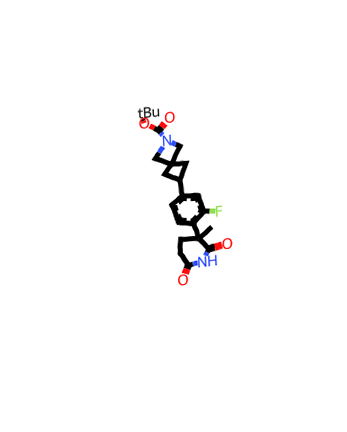 CC(C)(C)OC(=O)N1CC2(CC(c3ccc(C4(C)CCC(=O)NC4=O)c(F)c3)C2)C1